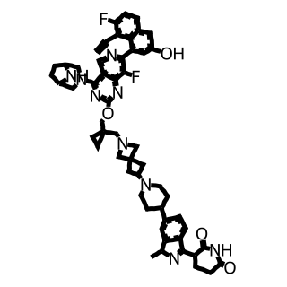 C#Cc1c(F)ccc2cc(O)cc(-c3ncc4c(N5CC6CCC(C5)N6)nc(OCC5(CN6CC7(CC(N8CCC(c9ccc%10c(c9)C(C)N=C%10C9CCC(=O)NC9=O)CC8)C7)C6)CC5)nc4c3F)c12